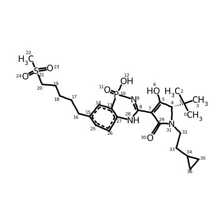 CC(C)(C)[C@H]1C(O)=C(C2=NP(=O)(O)c3cc(CCCCCS(C)(=O)=O)ccc3N2)C(=O)N1CCC1CC1